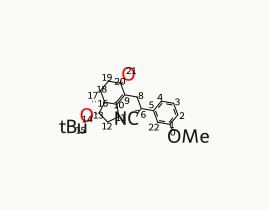 COc1cccc(C(C#N)CC2=C3CC[C@H](OC(C)(C)C)[C@@]3(C)CCC2=O)c1